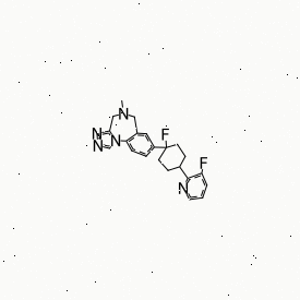 CN1Cc2cc(C3(F)CCC(c4ncccc4F)CC3)ccc2-n2cnnc2C1